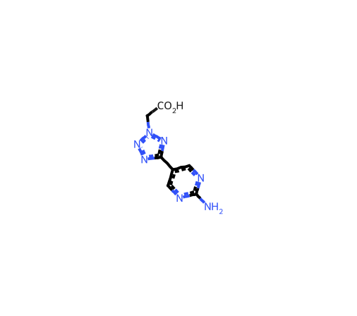 Nc1ncc(-c2nnn(CC(=O)O)n2)cn1